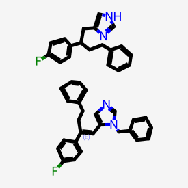 Fc1ccc(/C(=C/c2cncn2Cc2ccccc2)CCc2ccccc2)cc1.Fc1ccc(C(CCc2ccccc2)Cc2c[nH]cn2)cc1